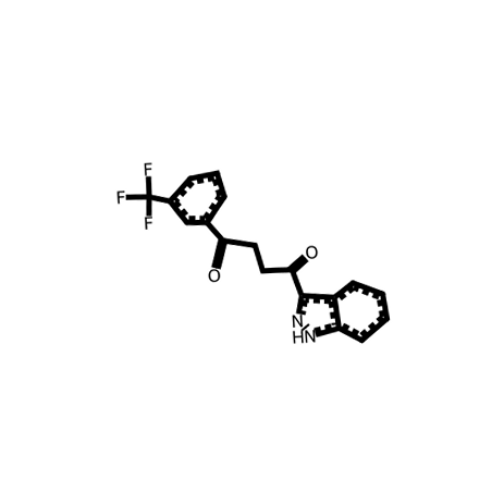 O=C(CCC(=O)c1n[nH]c2ccccc12)c1cccc(C(F)(F)F)c1